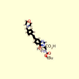 CC(C)(C)OC(=O)NC[C@@](C)(C(=O)O)n1cnc2cc(C#Cc3ccc(CN4CCOCC4)cc3)ccc2c1=O